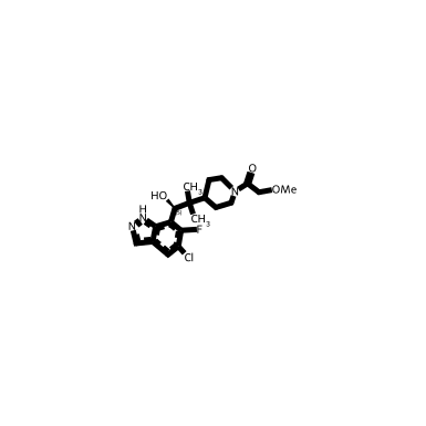 COCC(=O)N1CCC(C(C)(C)[C@H](O)c2c(F)c(Cl)cc3cn[nH]c23)CC1